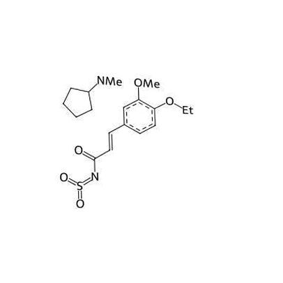 CCOc1ccc(/C=C/C(=O)N=S(=O)=O)cc1OC.CNC1CCCC1